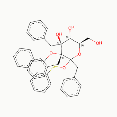 OC[C@H]1OC(Cc2ccccc2)(OSc2ccccc2)[C@](Cc2ccccc2)(OCc2ccccc2)[C@](O)(Cc2ccccc2)[C@@H]1O